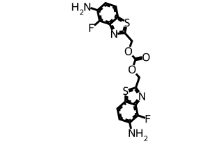 Nc1ccc2sc(COC(=O)OCc3nc4c(F)c(N)ccc4s3)nc2c1F